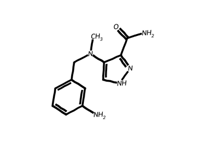 CN(Cc1cccc(N)c1)c1c[nH]nc1C(N)=O